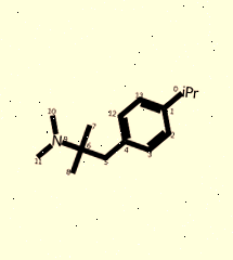 CC(C)c1ccc(CC(C)(C)N(C)C)cc1